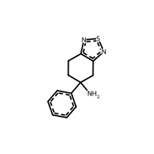 NC1(c2ccccc2)CCc2nsnc2C1